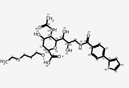 CCSCCCO[C@]1(C(=O)O)CC(O)[C@@H](NC(C)=O)C(C(O)[C@H](O)CNC(=O)c2ccc(-c3cccs3)cc2)O1